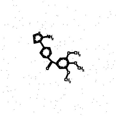 COc1cc(C(=O)c2ccc(-c3ccsc3N)cc2)cc(OC)c1OC